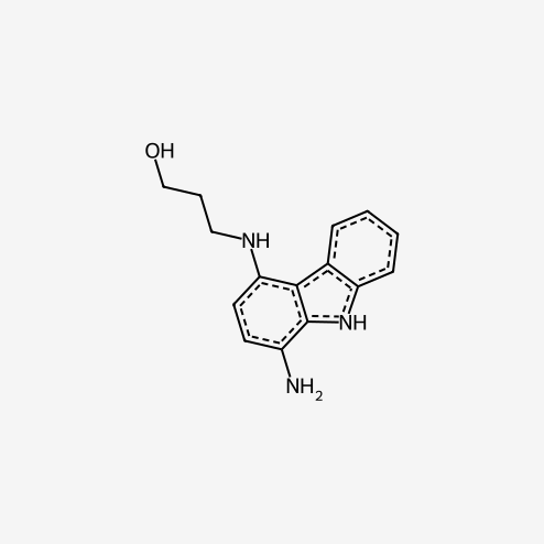 Nc1ccc(NCCCO)c2c1[nH]c1ccccc12